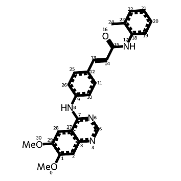 COc1cc2ncnc(Nc3ccc(C=CC(=O)Nc4ccccc4C)cc3)c2cc1OC